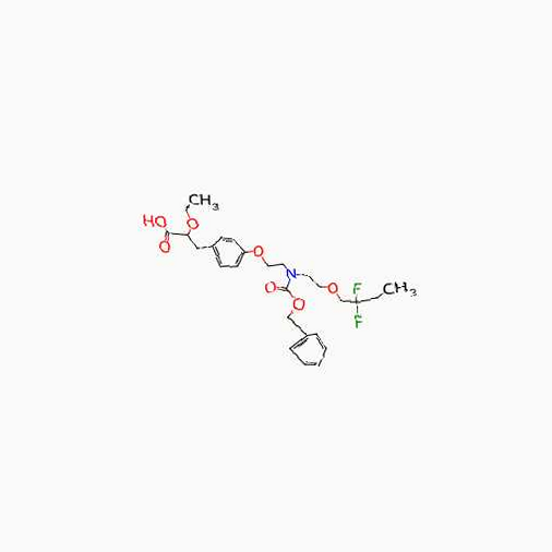 CCOC(Cc1ccc(OCCN(CCOCC(F)(F)CC)C(=O)OCc2ccccc2)cc1)C(=O)O